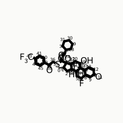 C[C@@H]1C[C@H]2[C@@H]3C[C@H](F)C4=CC(=O)C=C[C@]4(C)[C@@]3(F)[C@@H](O)C[C@]2(C)[C@@]1(OC(=O)C1CCCCC1)C(=O)SCC(=O)c1ccc(C(F)(F)F)cc1